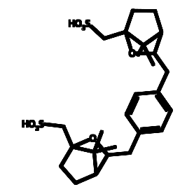 CC1(C)C2CCC1(CS(=O)(=O)O)OC2Cc1ccc(CC2OC3(CS(=O)(=O)O)CCC2C3(C)C)cc1